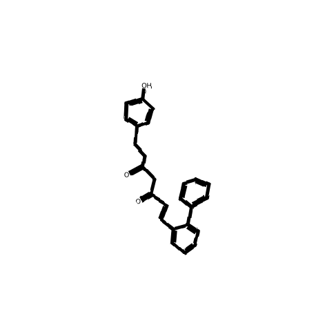 O=C(/C=C/c1ccccc1-c1ccccc1)CC(=O)CCc1ccc(O)cc1